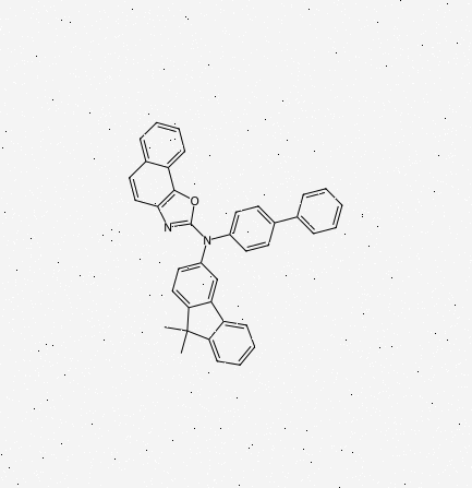 CC1(C)c2ccccc2-c2cc(N(c3ccc(-c4ccccc4)cc3)c3nc4ccc5ccccc5c4o3)ccc21